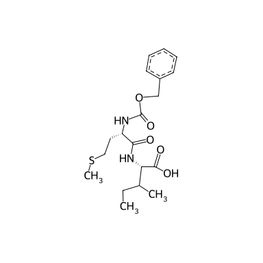 CCC(C)[C@H](NC(=O)[C@H](CCSC)NC(=O)OCc1ccccc1)C(=O)O